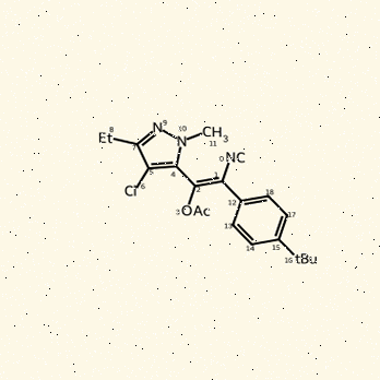 [C-]#[N+]/C(=C(/OC(C)=O)c1c(Cl)c(CC)nn1C)c1ccc(C(C)(C)C)cc1